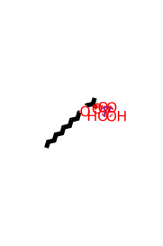 CCCCCCCCCCOCC(C)OOP(=O)(O)O